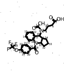 CC(=O)N(CCCC(=O)O)C1c2ccccc2N(C(=O)c2ccc(OC(F)(F)F)cc2)C2CCCC12